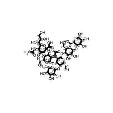 CC(=O)N[C@H]1[C@H](O[C@@H]2[C@H](O)[C@@H](O)[C@H](O[C@H]3[C@H](O)[C@@H](O)[C@H](O)O[C@@H]3CO)O[C@@H]2CO)O[C@H](CO)[C@H](O[C@@H]2O[C@@H](C)[C@@H](O)[C@@H](O)[C@@H]2O)[C@@H]1O[C@@H]1O[C@H](CO)[C@H](O)[C@H](O[C@]2(C(=O)O)C[C@H](O)[C@@H](NC(C)=O)[C@H]([C@H](O)[C@H](O)CO)O2)[C@H]1O